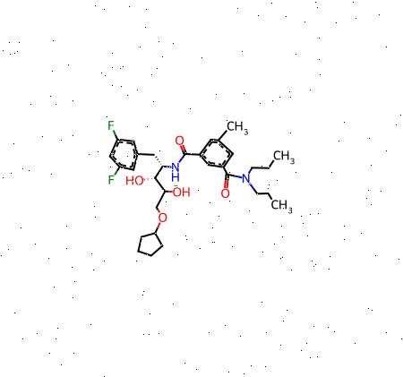 CCCN(CCC)C(=O)c1cc(C)cc(C(=O)N[C@@H](Cc2cc(F)cc(F)c2)[C@@H](O)C(O)COC2CCCC2)c1